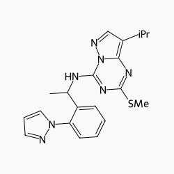 CSc1nc(NC(C)c2ccccc2-n2cccn2)n2ncc(C(C)C)c2n1